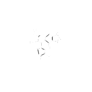 COC(=O)C(C)C(c1ccc(C)c(CO)c1)c1ccc2c(nnn2C)c1C